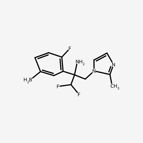 Bc1ccc(F)c(C(N)(Cn2ccnc2C)C(F)F)c1